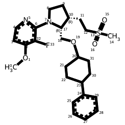 COc1ccnc(N2CC[C@H](CCS(C)(=O)=O)[C@@H]2COC2CCC(c3ccccc3)CC2)c1F